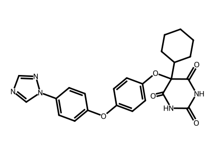 O=C1NC(=O)C(Oc2ccc(Oc3ccc(-n4cncn4)cc3)cc2)(C2CCCCC2)C(=O)N1